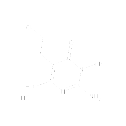 CCCn1c(N)nc(C)c(CCCl)c1=O.Cl